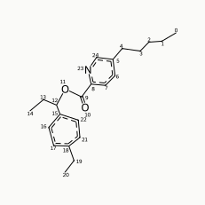 CCCCCc1ccc(C(=O)OC(CC)c2ccc(CC)cc2)nc1